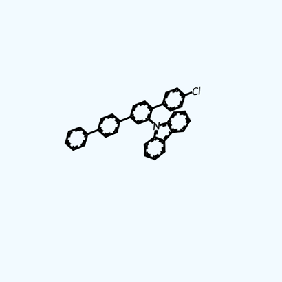 Clc1ccc(-c2ccc(-c3ccc(-c4ccccc4)cc3)cc2-n2c3ccccc3c3ccccc32)cc1